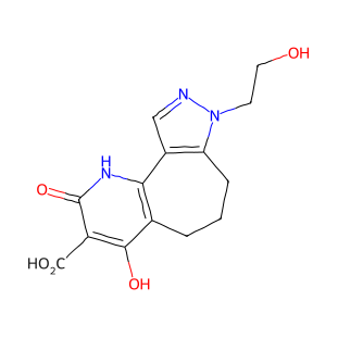 O=C(O)c1c(O)c2c([nH]c1=O)-c1cnn(CCO)c1CCC2